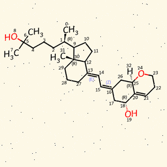 C[C@H](CCCC(C)(C)O)C1CCC2/C(=C/C=C3/C[C@@H](O)C4=CCCO[C@@H]4C3)CCC[C@@]21C